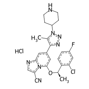 Cc1c(-c2cc(O[C@H](C)c3ccc(F)cc3Cl)n3c(C#N)cnc3c2)nnn1C1CCNCC1.Cl